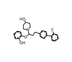 Oc1ccccc1OC(CCc1ccc(-c2ccccc2F)cc1)N1CCC(O)CC1